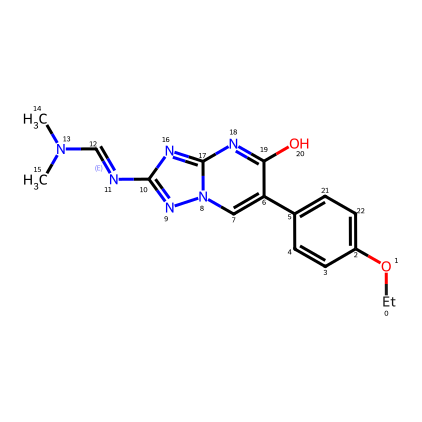 CCOc1ccc(-c2cn3nc(/N=C/N(C)C)nc3nc2O)cc1